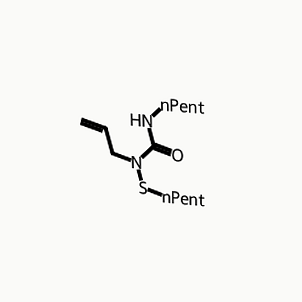 C=CCN(SCCCCC)C(=O)NCCCCC